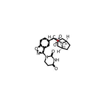 CS(=O)(=O)N1[C@@H]2CC[C@H]1CC(Cc1ccc3onc(N4CCC(=O)NC4=O)c3c1)C2